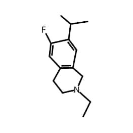 CCN1CCc2cc(F)c(C(C)C)cc2C1